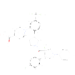 CC[C@H]1CN(C(=O)[C@]2(F)CN(C3CCOCC3)C[C@H]2c2ccc(Cl)cc2)C[C@@H]1c1ccc(C(F)(F)F)cc1N1CCC(C(=O)O)CC1